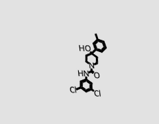 Cc1cccc(C2(O)CCN(C(=O)Nc3cc(Cl)cc(Cl)c3)CC2)c1